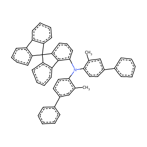 Cc1cc(-c2ccccc2)ccc1N(c1ccc(-c2ccccc2)cc1C)c1cccc2c1-c1ccccc1C21c2ccccc2-c2ccccc21